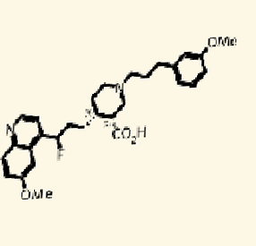 COc1cccc(CCCN2CC[C@@H](CCC(F)c3ccnc4ccc(OC)cc34)[C@@H](C(=O)O)C2)c1